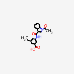 CCc1cc(NC(=O)c2cn(C(C)=O)c3ccccc23)cc(C(=O)O)c1